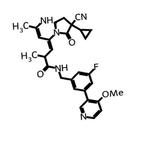 COc1ccncc1-c1cc(F)cc(CNC(=O)C(C)/C=C(\C=C(\C)N)N2CCC(C#N)(C3CC3)C2=O)c1